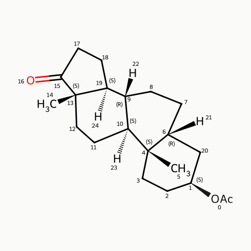 CC(=O)O[C@H]1CC[C@@]2(C)[C@H](CC[C@@H]3[C@@H]2CC[C@]2(C)C(=O)CC[C@@H]32)C1